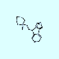 FC1(CCC2c3ccccc3-c3cncn32)CCCCC1